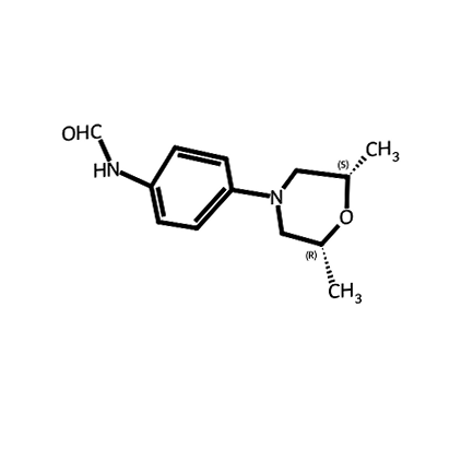 C[C@@H]1CN(c2ccc(NC=O)cc2)C[C@H](C)O1